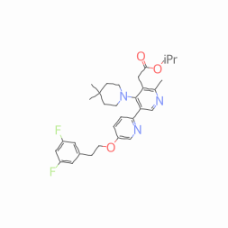 Cc1ncc(-c2ccc(OCCc3cc(F)cc(F)c3)cn2)c(N2CCC(C)(C)CC2)c1CC(=O)OC(C)C